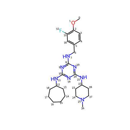 COc1ccc(CNc2nc(NC3CCCCCC3)nc(NC3CCN(C)CC3)n2)cc1F